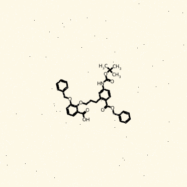 CC(C)(C)OC(=O)Nc1ccc(C(=O)OCc2ccccc2)c(CCCOc2c(OCc3ccccc3)cccc2C(=O)O)c1